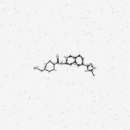 Cc1nnc(-c2ccc3cnc(NC(=O)C4CCN(CC(C)C)CC4)cc3c2)o1